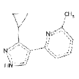 Cc1cccc(-c2c[nH]nc2C2CC2)n1